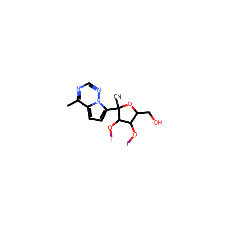 Cc1ncnn2c(C3(C#N)OC(CO)C(OI)C3OI)ccc12